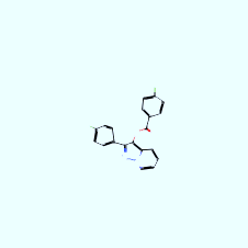 O=C(Oc1c(-c2ccc(F)cc2)nn2ccccc12)c1ccc(F)cc1